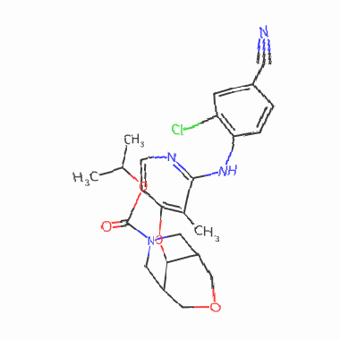 Cc1c(OC2C3COCC2CN(C(=O)OC(C)C)C3)ccnc1Nc1ccc(C#N)cc1Cl